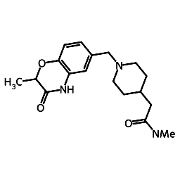 CNC(=O)CC1CCN(Cc2ccc3c(c2)NC(=O)C(C)O3)CC1